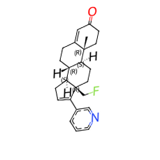 C[C@]12CCC(=O)C=C1CC[C@H]1[C@@H]3CC=C(c4cccnc4)[C@@]3(CF)CC[C@@H]12